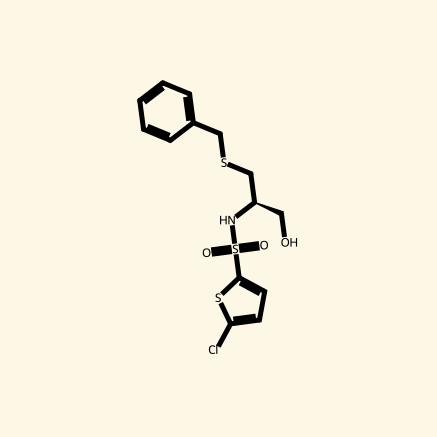 O=S(=O)(N[C@H](CO)CSCc1ccccc1)c1ccc(Cl)s1